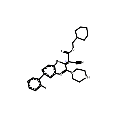 N#C/C(C(=O)OCC1CCCCC1)=C1/Nc2ccc(-c3ccccc3F)cc2N=C1N1CCNCC1